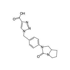 O=C(O)c1cn(Cc2ccc(N3CC4CCCN4C3=O)cc2)nn1